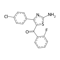 Nc1nc(-c2ccc(Cl)cc2)c(C(=O)c2ccccc2F)s1